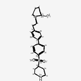 C[C@@H]1CCCN1CCc1ccc(-c2ccc(S(=O)(=O)C3CCNCC3)cc2)cc1